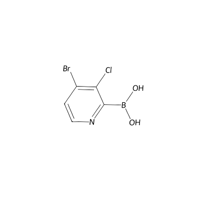 OB(O)c1nccc(Br)c1Cl